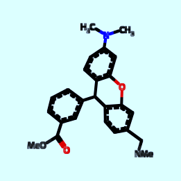 CNCc1ccc2c(c1)Oc1cc(N(C)C)ccc1C2c1cccc(C(=O)OC)c1